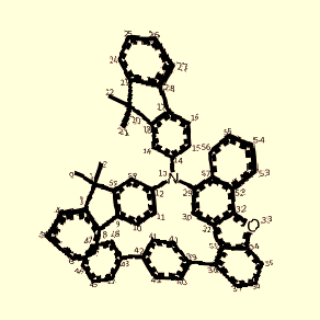 CC1(C)c2ccccc2-c2ccc(N(c3ccc4c(c3)C(C)(C)c3ccccc3-4)c3cc4c(oc5cccc(-c6ccc(-c7ccccc7)cc6)c54)c4ccccc34)cc21